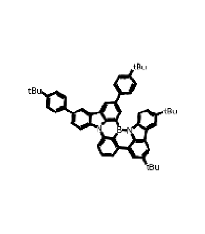 CC(C)(C)c1ccc(-c2ccc3c(c2)c2cc(-c4ccc(C(C)(C)C)cc4)cc4c2n3-c2cccc3c2B4n2c4ccc(C(C)(C)C)cc4c4cc(C(C)(C)C)cc-3c42)cc1